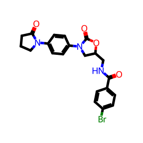 O=C(NCC1CN(c2ccc(N3CCCC3=O)cc2)C(=O)O1)c1ccc(Br)cc1